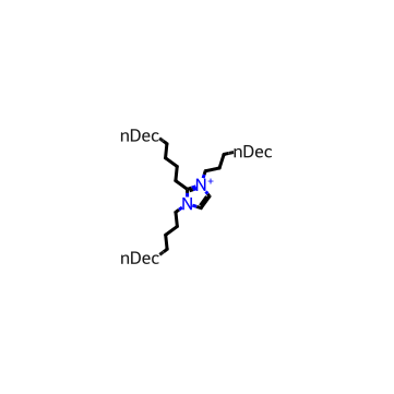 CCCCCCCCCCCCCCc1n(CCCCCCCCCCCCCC)cc[n+]1CCCCCCCCCCCCC